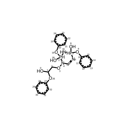 OC(CON1P=N[PH](O)(Oc2ccccc2)N[PH]1(O)Oc1ccccc1)Oc1ccccc1